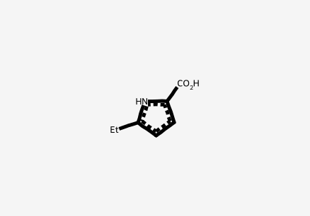 CCc1ccc(C(=O)O)[nH]1